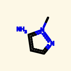 Cn1cccn1.N